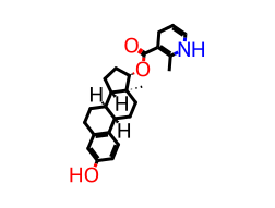 CC1=C(C(=O)O[C@H]2CC[C@H]3[C@@H]4CCc5cc(O)ccc5[C@H]4CC[C@]23C)CC=CN1